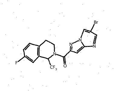 O=C(c1cc2ncc(Br)cn2n1)N1CCc2ccc(F)cc2C1C(F)(F)F